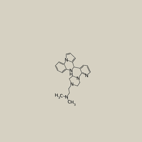 CN(C)CCN1CCN(c2ncccc2C2Nc3ccccc3-n3cccc32)CC1